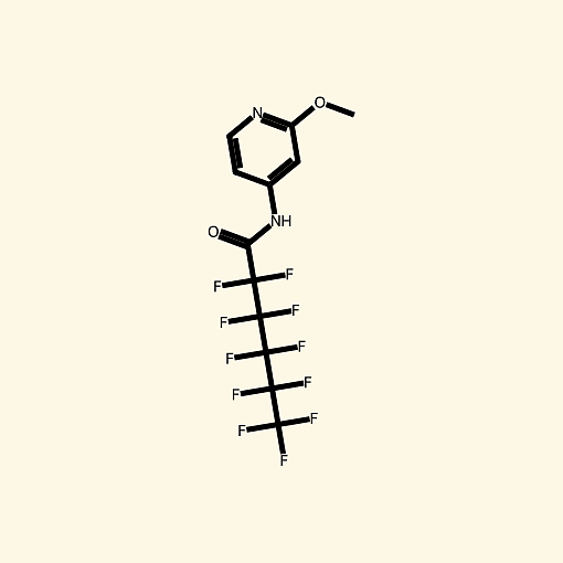 COc1cc(NC(=O)C(F)(F)C(F)(F)C(F)(F)C(F)(F)C(F)(F)F)ccn1